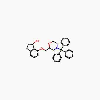 OC1CCc2cccc(OCC3CN(C(c4ccccc4)(c4ccccc4)c4ccccc4)CCO3)c21